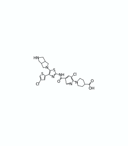 O=C(Nc1nc(-c2cc(Cl)cs2)c(N2CC3CNCC3C2)s1)c1cnc(N2CCC(C(=O)O)CC2)c(Cl)c1